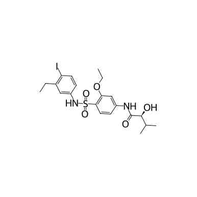 CCOc1cc(NC(=O)[C@@H](O)C(C)C)ccc1S(=O)(=O)Nc1ccc(I)c(CC)c1